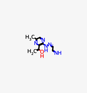 C=C(O)c1nc(C)cnc1N/N=C\C=N